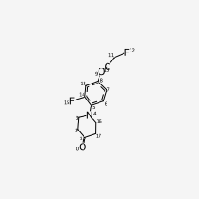 O=C1CCN(c2ccc(OCCF)cc2F)CC1